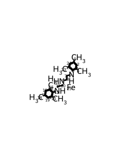 Cc1cc(C)c(NCCNCCNc2c(C)cc(C)cc2C)c(C)c1.[Fe]